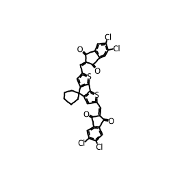 O=C1C(=Cc2cc3c(s2)-c2sc(C=C4C(=O)c5cc(Cl)c(Cl)cc5C4=O)cc2C32CCCCC2)C(=O)c2cc(Cl)c(Cl)cc21